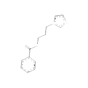 O=C(NCCCn1ccnc1)c1[c]cccc1